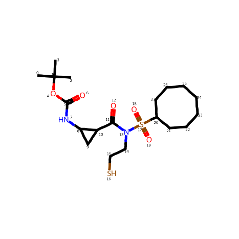 CC(C)(C)OC(=O)NC1CC1C(=O)N(CCS)S(=O)(=O)C1CCCCCCC1